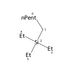 CCCCCC[Si](CC)(CC)CC